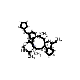 C=CC1=NC2CC(=C)[n+]3ccc(CC4CCCC4)cc3/C3=C(\CCC2c2ccccc21)N(C)C(C)NCOC3=C